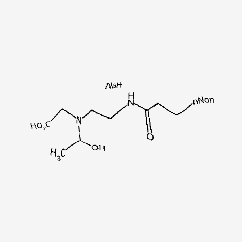 CCCCCCCCCCCC(=O)NCCN(CC(=O)O)C(C)O.[NaH]